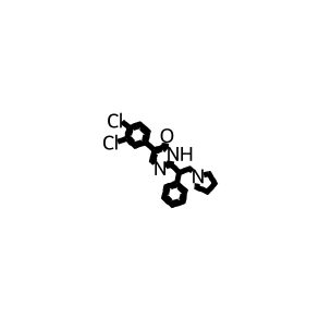 O=c1[nH]c(C(CN2CCCC2)c2ccccc2)ncc1-c1ccc(Cl)c(Cl)c1